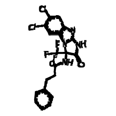 O=C(CCc1ccccc1)NC1(C(F)(F)F)C(=O)Nc2nc3cc(Cl)c(Cl)cc3n21